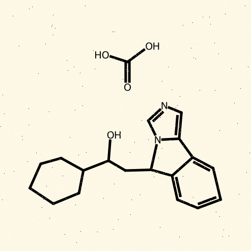 O=C(O)O.OC(CC1c2ccccc2-c2cncn21)C1CCCCC1